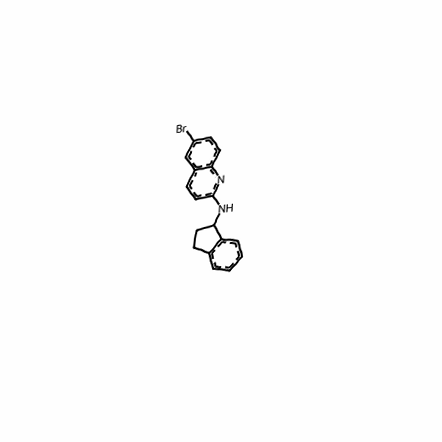 Brc1ccc2nc(NC3CCc4ccccc43)ccc2c1